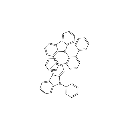 c1ccc(-c2cccc(-c3ccccc3)c2-n2c3ccccc3c3cccc(-c4ccc5c(c4)c4ccccc4n5-c4ccccc4)c32)cc1